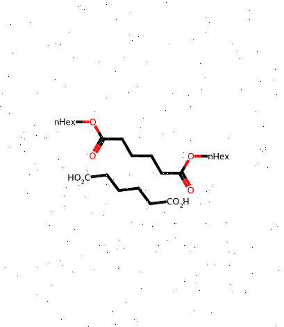 CCCCCCOC(=O)CCCCC(=O)OCCCCCC.O=C(O)CCCCC(=O)O